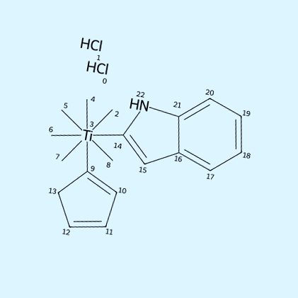 Cl.Cl.[CH3][Ti]([CH3])([CH3])([CH3])([CH3])([CH3])([C]1=CC=CC1)[c]1cc2ccccc2[nH]1